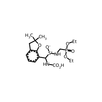 CCOP(=O)(CN[S+]([O-])C(NC(=O)O)c1cccc2c1OC(C)(C)C2)OCC